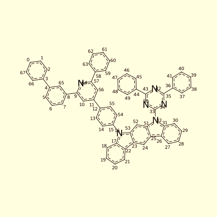 c1ccc(-c2cccc(-c3cc(-c4ccc(-n5c6ccccc6c6cc7c8ccccc8n(-c8nc(-c9ccccc9)nc(-c9ccccc9)n8)c7cc65)cc4)cc(-c4ccccc4)n3)c2)cc1